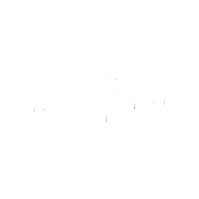 CCCCCCCCCCCCCCCCCC(=O)OCC[N+](C)(C)CCO.[Cl-]